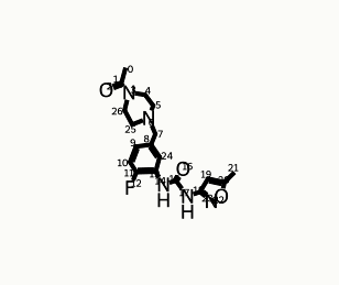 CC(=O)N1CCN(Cc2ccc(F)c(NC(=O)Nc3cc(C)on3)c2)CC1